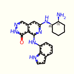 N[C@H]1CCCC[C@H]1Nc1cc2cn[nH]c(=O)c2c(Nc2cccc3cc[nH]c23)n1